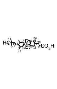 CCC(CC)(c1ccc(C=CC(C)(C)O)c(C)c1)c1ccc(CCC(=O)O)c(C)c1